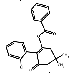 CC1(C)CC(=O)C(c2ccccc2Cl)=C(OC(=O)c2ccccc2)C1